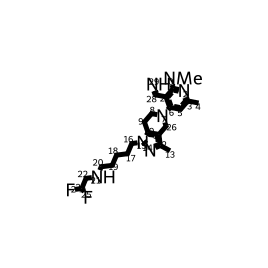 CNc1nc(C)cc(N2CCc3c(c(C)nn3CCCCCNCC(F)F)C2)c1C=N